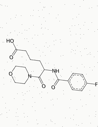 O=C(O)CCCC(NC(=O)c1ccc(F)cc1)C(=O)N1CCOCC1